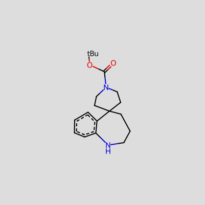 CC(C)(C)OC(=O)N1CCC2(CCCNc3ccccc32)CC1